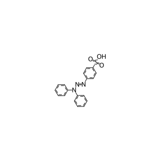 O=S(=O)(O)c1ccc(/N=N/N(c2ccccc2)c2ccccc2)cc1